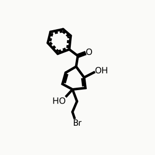 O=C(c1ccccc1)C1C=CC(O)(CCBr)C=C1O